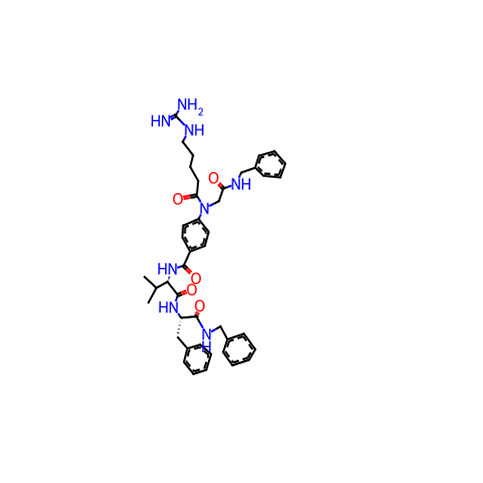 CC(C)[C@H](NC(=O)c1ccc(N(CC(=O)NCc2ccccc2)C(=O)CCCCNC(=N)N)cc1)C(=O)N[C@@H](Cc1ccccc1)C(=O)NCc1ccccc1